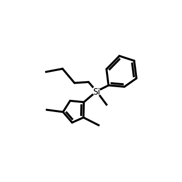 CCCC[Si](C)(C1=C(C)C=C(C)C1)c1ccccc1